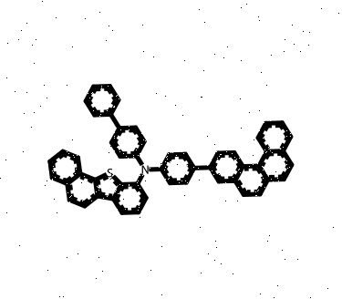 c1ccc(-c2ccc(N(c3ccc(-c4ccc5c(ccc6ccc7ccccc7c65)c4)cc3)c3cccc4c3sc3c5ccccc5ccc43)cc2)cc1